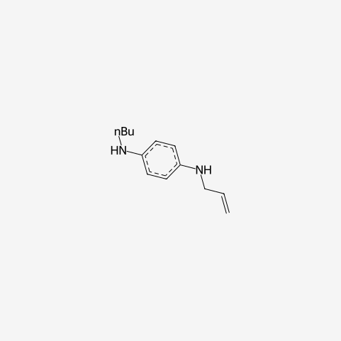 C=CCNc1ccc(NCCCC)cc1